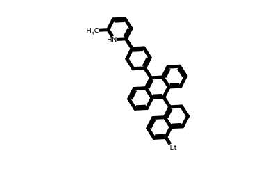 CCc1cccc2c1=CCCC=2c1c2ccccc2c(C2=CC=C(C3=CC=CC(C)N3)CC2)c2ccccc12